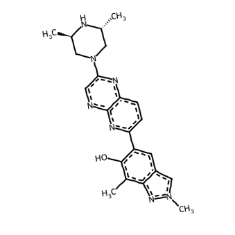 Cc1c(O)c(-c2ccc3nc(N4C[C@@H](C)N[C@H](C)C4)cnc3n2)cc2cn(C)nc12